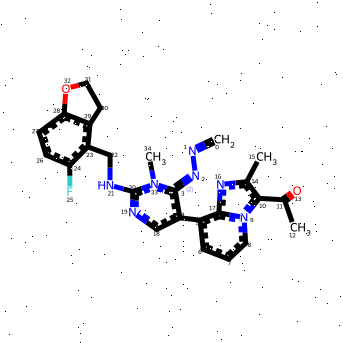 C=N/N=c1/c(-c2cccn3c(C(C)=O)c(C)nc23)cnc(NCc2c(F)ccc3c2CCO3)n1C